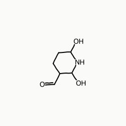 O=CC1CCC(O)NC1O